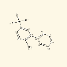 Nc1ccc(C(F)(F)F)cc1-c1cnccn1